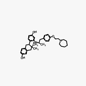 CC(Cc1ccc(OCCN2CCCCCC2)cc1)Nc1cc(O)ccc1C1Cc2ccc(O)cc2CC1(C)C